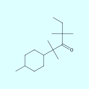 CCC(C)(C)C(=O)C(C)(C)C1CCC(C)CC1